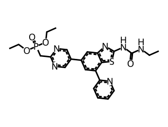 CCNC(=O)Nc1nc2cc(-c3cnc(CP(=O)(OCC)OCC)nc3)cc(-c3ccccn3)c2s1